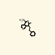 Cc1nc(N)c2ccncc2c1CCc1ccccc1